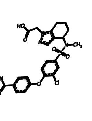 CN(C1CCCc2c1cnn2CC(=O)O)S(=O)(=O)c1ccc(Oc2ccc(C(N)=O)cc2)c(Cl)c1